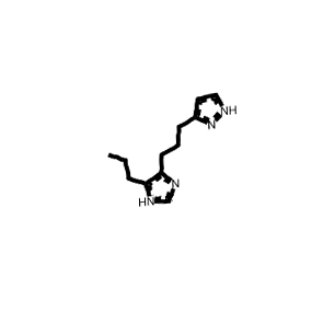 CCCc1[nH][c]nc1CCCc1cc[nH]n1